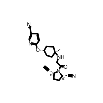 C#C[C@H]1CC[C@@H](C#N)N1C(=O)CN[C@]1(C)CC[C@@H](Oc2ccc(C#N)cn2)CC1